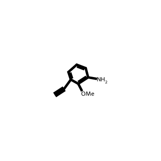 C#Cc1cccc(N)c1OC